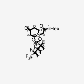 CCCCCCC(=O)CS1(OS(=O)(=O)C(F)(F)C(F)(F)C(F)(F)C(F)(F)F)CCC(=O)CC1